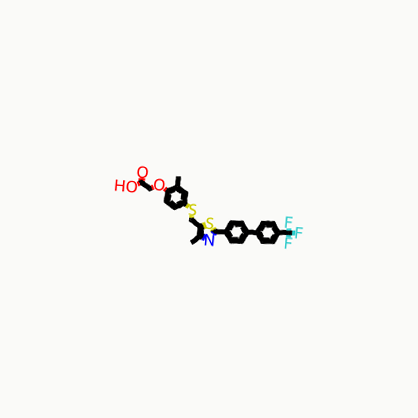 Cc1cc(SCc2sc(-c3ccc(-c4ccc(C(F)(F)F)cc4)cc3)nc2C)ccc1OCC(=O)O